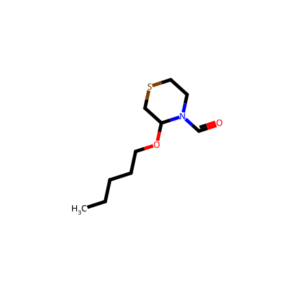 CCCCCOC1CSCCN1C=O